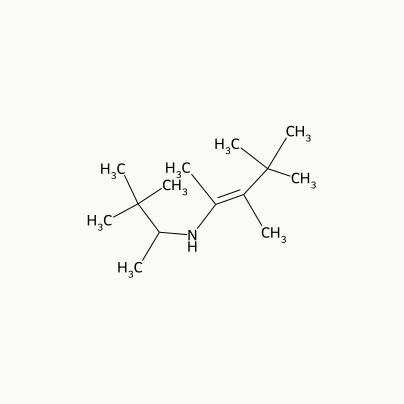 C/C(NC(C)C(C)(C)C)=C(/C)C(C)(C)C